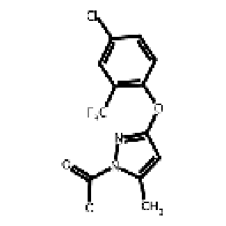 Cc1cc(Oc2ccc(Cl)cc2C(F)(F)F)nn1C(=O)Cl